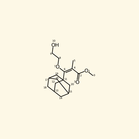 COC(=O)C(C)=C(OCCO)C12CC3CC(CC(C3)C1)C2